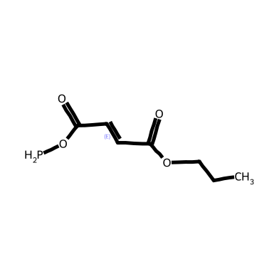 CCCOC(=O)/C=C/C(=O)OP